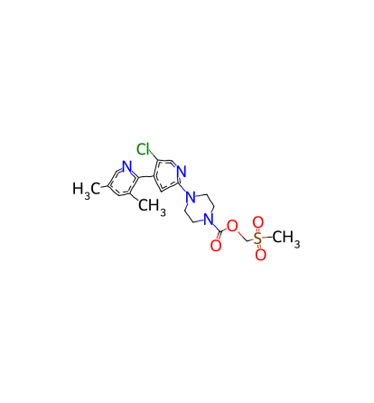 Cc1cnc(-c2cc(N3CCN(C(=O)OCS(C)(=O)=O)CC3)ncc2Cl)c(C)c1